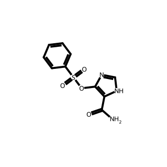 NC(=O)c1[nH]cnc1OS(=O)(=O)c1ccccc1